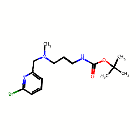 CN(CCCNC(=O)OC(C)(C)C)Cc1cccc(Br)n1